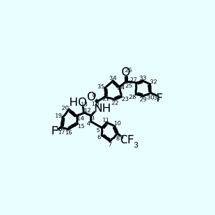 O=C(NC(Cc1ccc(C(F)(F)F)cc1)C(O)c1ccc(F)cc1)c1ccc(C(=O)c2ccc(F)cc2)cc1